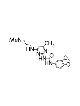 CNCCCNc1cc(C)nc(NC(=O)Nc2ccc3c(c2)OCO3)n1